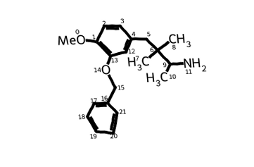 COc1ccc(CC(C)(C)C(C)N)cc1OCc1ccccc1